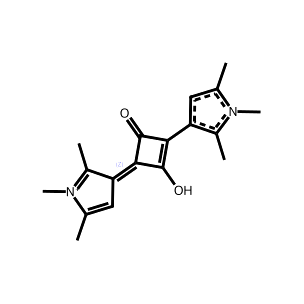 CC1=C/C(=C2/C(=O)C(c3cc(C)n(C)c3C)=C2O)C(C)=[N+]1C